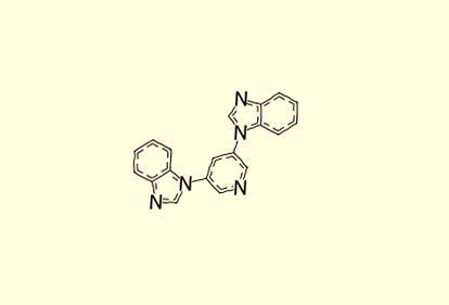 c1ccc2c(c1)ncn2-c1cncc(-n2cnc3ccccc32)c1